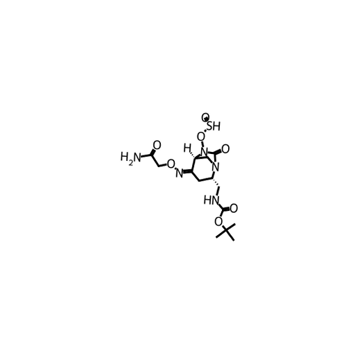 CC(C)(C)OC(=O)NC[C@@H]1C/C(=N/OCC(N)=O)[C@@H]2CN1C(=O)N2O[SH]=O